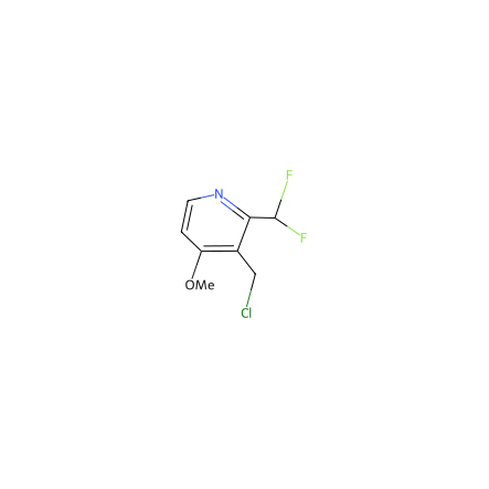 COc1ccnc(C(F)F)c1CCl